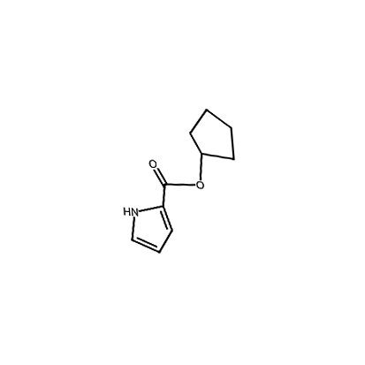 O=C(OC1CCCC1)c1ccc[nH]1